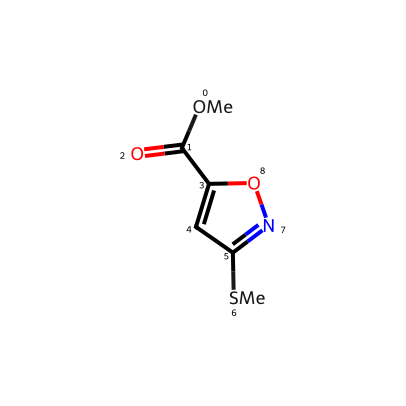 COC(=O)c1cc(SC)no1